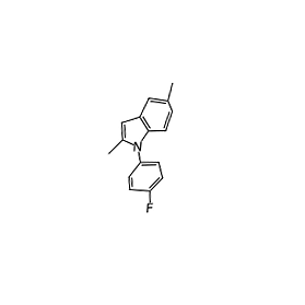 Cc1ccc2c(c1)cc(C)n2-c1ccc(F)cc1